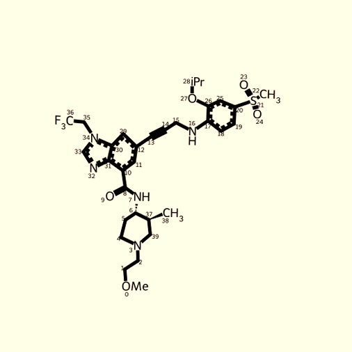 COCCN1CC[C@H](NC(=O)c2cc(C#CCNc3ccc(S(C)(=O)=O)cc3OC(C)C)cc3c2ncn3CC(F)(F)F)[C@@H](C)C1